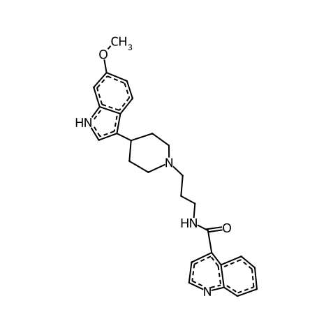 COc1ccc2c(C3CCN(CCCNC(=O)c4ccnc5ccccc45)CC3)c[nH]c2c1